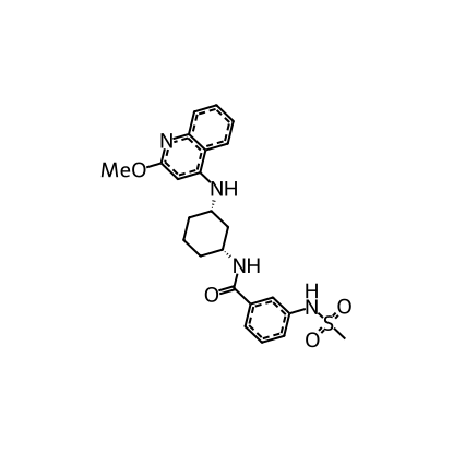 COc1cc(N[C@H]2CCC[C@@H](NC(=O)c3cccc(NS(C)(=O)=O)c3)C2)c2ccccc2n1